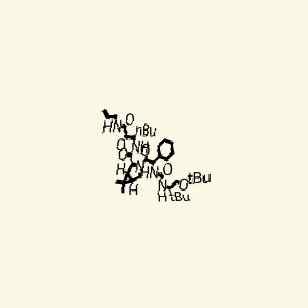 C=CCNC(=O)C(=O)C(CCCC)NC(=O)[C@@H]1[C@@H]2[C@H](CN1C(=O)[C@@H](NC(=O)N[C@H](COC(C)(C)C)C(C)(C)C)C1CCCCC1)C2(C)C